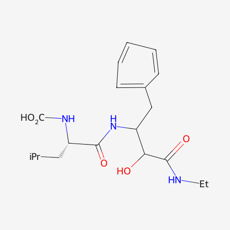 CCNC(=O)C(O)C(Cc1ccccc1)NC(=O)[C@H](CC(C)C)NC(=O)O